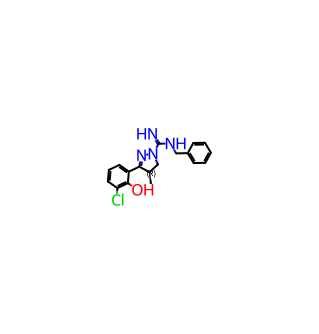 C[C@@H]1CN(C(=N)NCc2ccccc2)N=C1c1cccc(Cl)c1O